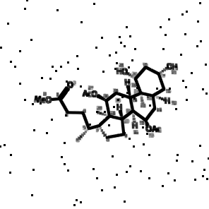 COC(=O)CC[C@@H](C)[C@H]1CC[C@H]2[C@@H]3[C@H](OC(C)=O)C[C@@H]4C[C@@H](O)C[C@@H](O)[C@]4(C)[C@H]3C[C@H](OC(C)=O)[C@]12C